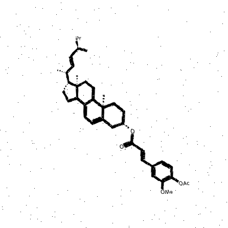 COc1cc(/C=C/C(=O)O[C@H]2CC[C@@]3(C)C(=CC=C4C3CC[C@@]3(C)C4CC[C@@H]3[C@H](C)/C=C/[C@H](C)C(C)C)C2)ccc1OC(C)=O